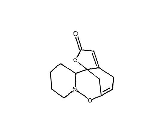 O=C1C=C2CC=C3CC2(O1)C1CCCCN1O3